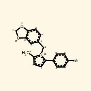 Cc1[c]cc(-c2ccc(Br)cc2)n1Cc1ccc2c(c1)OCO2